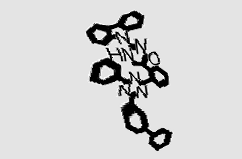 c1ccc(-c2cccc(-c3nc(-c4ccccc4)nc(-c4cccc5oc6c(c45)CNC(n4c5ccccc5c5ccccc54)=N6)n3)c2)cc1